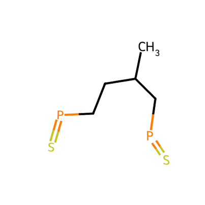 CC(CCP=S)CP=S